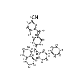 Cc1ccc(C#N)cc1N(C)c1ccc(N(c2cccc(-c3ccccc3)c2)c2cccc3ccccc23)cc1